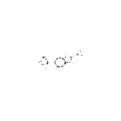 Cc1nnn(C)c1-c1c[c]c2[nH]c(C3CC3)nc2c1